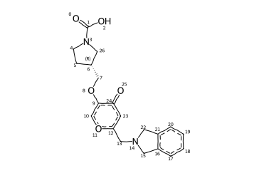 O=C(O)N1CC[C@@H](COc2coc(CN3Cc4ccccc4C3)cc2=O)C1